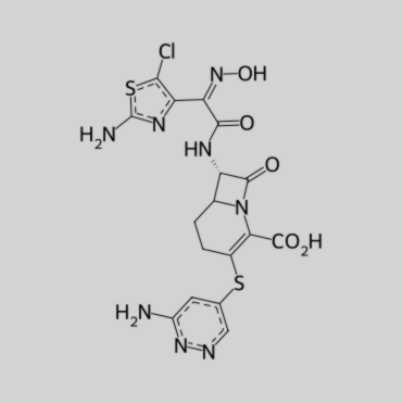 Nc1cc(SC2=C(C(=O)O)N3C(=O)[C@@H](NC(=O)/C(=N\O)c4nc(N)sc4Cl)C3CC2)cnn1